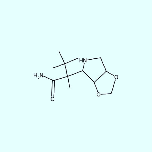 CC(C)(C)C(C)(C(N)=O)C1NCC2OCOC21